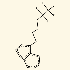 CC(F)(F)C(F)(F)COCCc1cccc2ccccc12